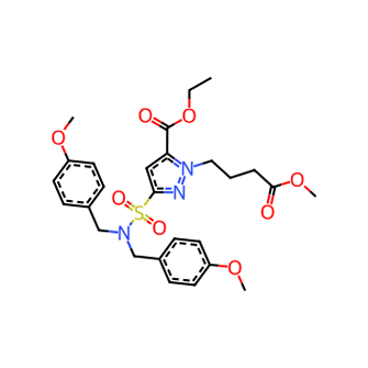 CCOC(=O)c1cc(S(=O)(=O)N(Cc2ccc(OC)cc2)Cc2ccc(OC)cc2)nn1CCCC(=O)OC